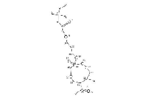 CCC(C)(C)CC(=O)COCCCOP1(=O)COC[C@@H](C(C)=O)C(C)(C)CCO1